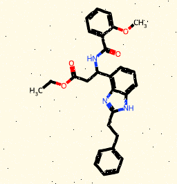 CCOC(=O)CC(NC(=O)c1ccccc1OC)c1cccc2[nH]c(CCc3ccccc3)nc12